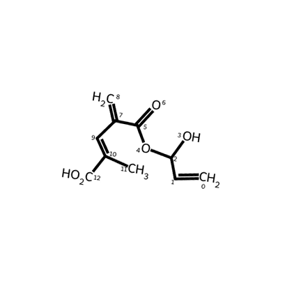 C=CC(O)OC(=O)C(=C)C=C(C)C(=O)O